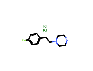 Cl.Cl.Fc1ccc(CCN2CCNCC2)cc1